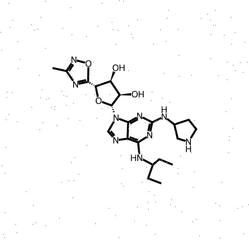 CCC(CC)Nc1nc(NC2CCNC2)nc2c1ncn2[C@@H]1O[C@H](c2nc(C)no2)[C@@H](O)[C@H]1O